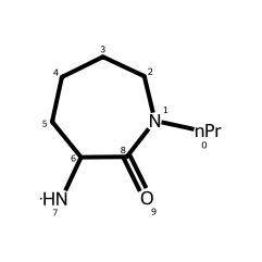 CCCN1CCCCC([NH])C1=O